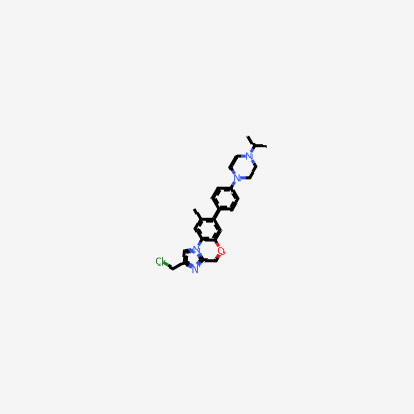 Cc1cc2c(cc1-c1ccc(N3CCN(C(C)C)CC3)cc1)OCc1nc(CCl)cn1-2